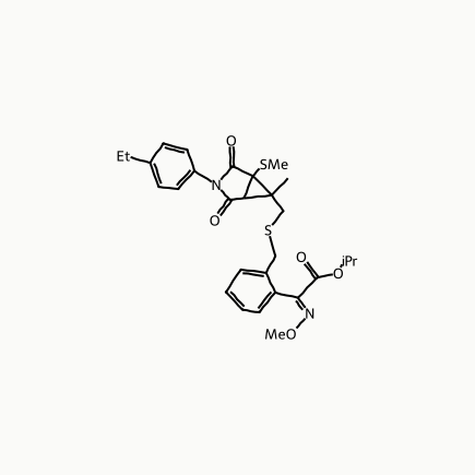 CCc1ccc(N2C(=O)C3C(C)(CSCc4ccccc4/C(=N\OC)C(=O)OC(C)C)C3(SC)C2=O)cc1